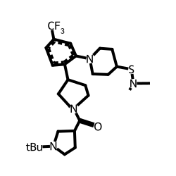 CN(C)SC1CCN(c2cc(C(F)(F)F)ccc2C2CCN(C(=O)C3CCN(C(C)(C)C)C3)CC2)CC1